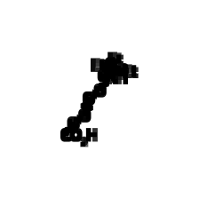 CCOCC(COCC)(COCC)NC(=O)CCOCCOC1CC(OCCOCCC(=O)O)C1